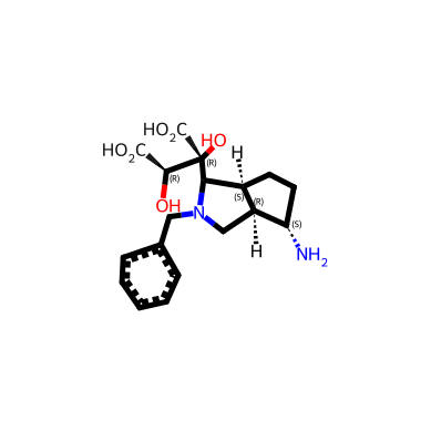 N[C@H]1CC[C@@H]2C([C@](O)(C(=O)O)[C@@H](O)C(=O)O)N(Cc3ccccc3)C[C@@H]21